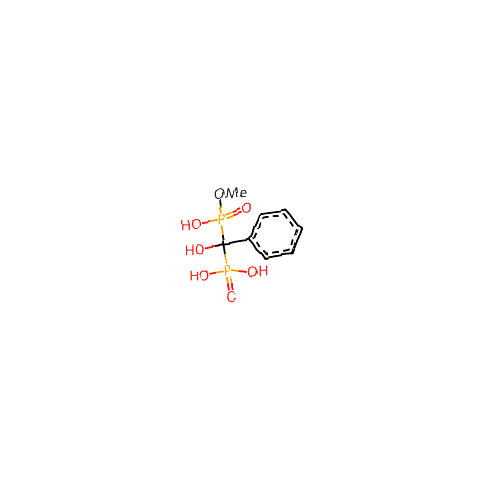 COP(=O)(O)C(O)(c1ccccc1)P(=O)(O)O